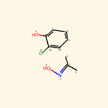 CC(C)=NO.Oc1ccccc1Cl